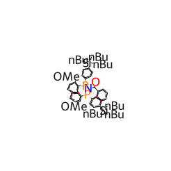 CCCC[Si](CCCC)(CCCC)c1ccc(P(c2ccccc2OC)N(C(=O)c2ccccc2)P(c2ccc([Si](CCCC)(CCCC)CCCC)cc2)c2ccccc2OC)cc1